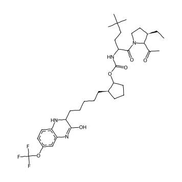 CC[C@@H]1CCN(C(=O)C(CCC(C)(C)C)NC(=O)OC2CCC[C@H]2CCCCCC2Nc3ccc(OC(F)(F)F)cc3N=C2O)C1C(C)=O